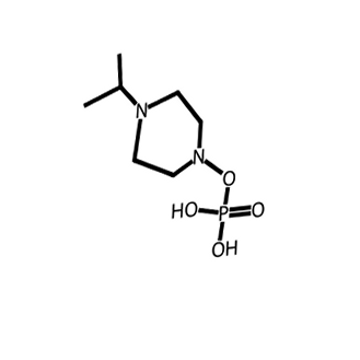 CC(C)N1CCN(OP(=O)(O)O)CC1